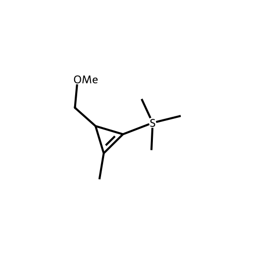 COCC1C(C)=C1S(C)(C)C